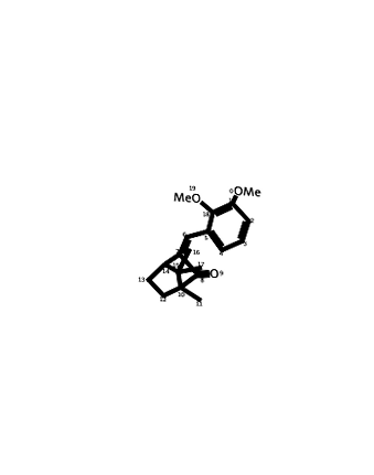 COc1cccc(C=C2C(=O)C3(C)CCC2C3(C)C)c1OC